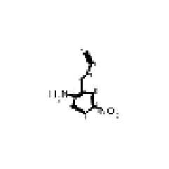 C#CCCc1cc([N+](=O)[O-])ccc1N